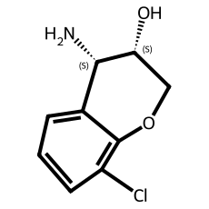 N[C@H]1c2cccc(Cl)c2OC[C@H]1O